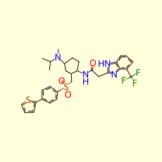 CC(C)N(C)C1CCC(NC(=O)Cc2nc3c(C(F)(F)F)cccc3[nH]2)C(CS(=O)(=O)c2ccc(-c3cccs3)cc2)C1